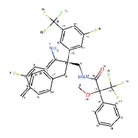 C=C/C(F)=C\C=C(/N)[C@@](CNC(=O)C(OC)(c1ccccc1)C(F)(F)F)(Cc1ccccc1)c1cc(F)cc(C(F)(F)F)c1